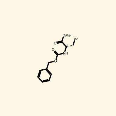 COC(=O)[C@H](CC(C)=O)NC(=O)OCc1ccccc1